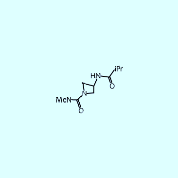 CNC(=O)N1CC(NC(=O)C(C)C)C1